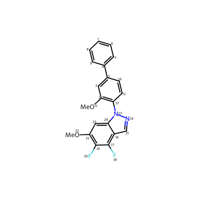 COc1cc(-c2ccccc2)ccc1-n1ncc2c(F)c(F)c(OC)cc21